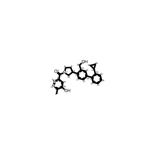 Cc1nnc(C(=O)N2CCC(c3ccc(-c4ccccc4C4CC4)cc3CO)C2)cc1O